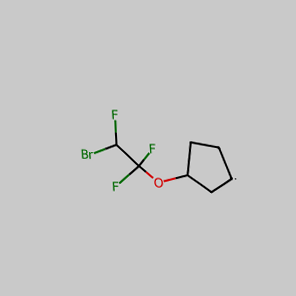 FC(Br)C(F)(F)OC1C[CH]CC1